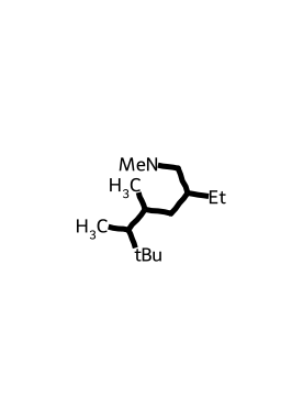 CCC(CNC)CC(C)C(C)C(C)(C)C